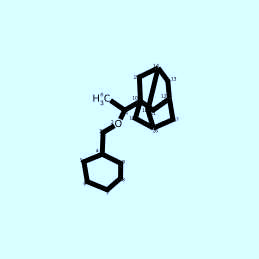 CC(OCC1CCCCC1)C12CC3CC(CC(C3)C1)C2